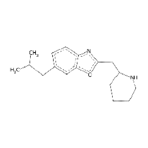 CC(C)Cc1ccc2nc(CC3CCCCN3)oc2c1